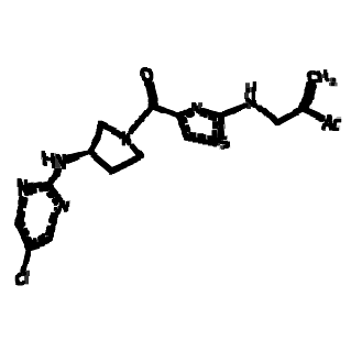 C=C(CNc1nc(C(=O)N2CC[C@@H](Nc3ncc(Cl)cn3)C2)cs1)C(C)=O